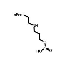 CCCCCCCNCCCOS(=O)O